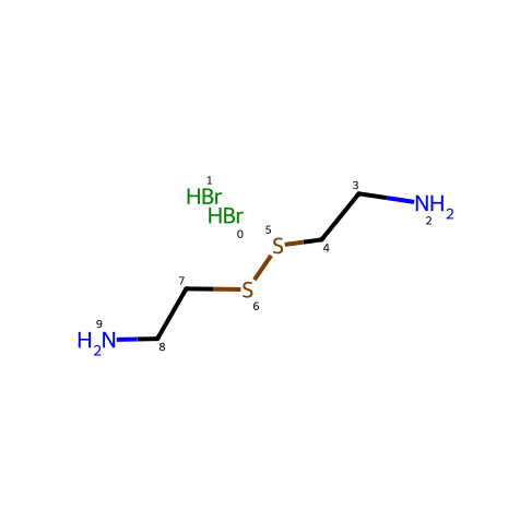 Br.Br.NCCSSCCN